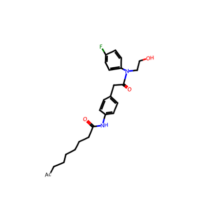 CC(=O)CCCCCCC(=O)Nc1ccc(CC(=O)N(CCO)c2ccc(F)cc2)cc1